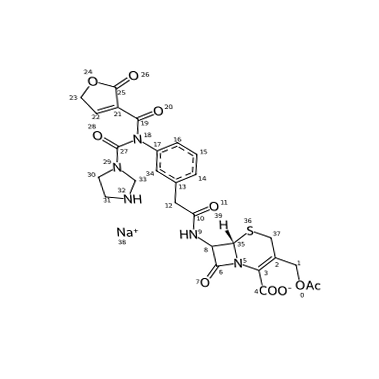 CC(=O)OCC1=C(C(=O)[O-])N2C(=O)C(NC(=O)Cc3cccc(N(C(=O)C4=CCOC4=O)C(=O)N4CCNC4)c3)[C@@H]2SC1.[Na+]